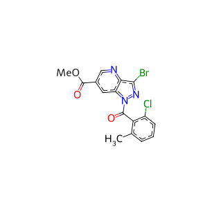 COC(=O)c1cnc2c(Br)nn(C(=O)c3c(C)cccc3Cl)c2c1